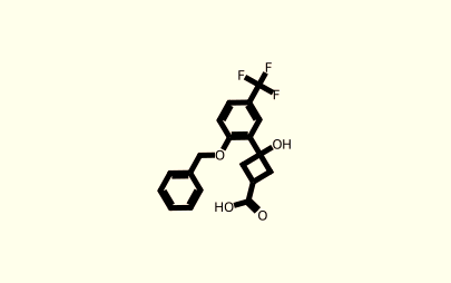 O=C(O)C1CC(O)(c2cc(C(F)(F)F)ccc2OCc2ccccc2)C1